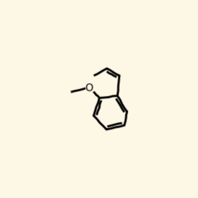 C/C=C\c1ccccc1OC